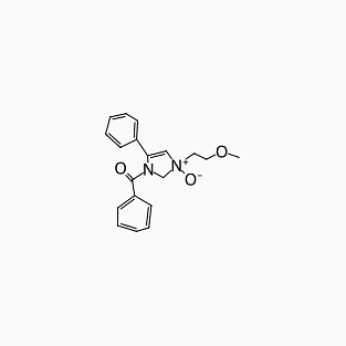 COCC[N+]1([O-])C=C(c2ccccc2)N(C(=O)c2ccccc2)C1